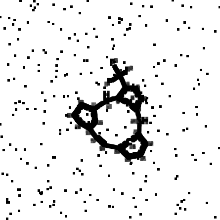 FC(F)(F)c1cnc2nc1Nc1cccc(c1)/C=C\c1cccc(c1)N2